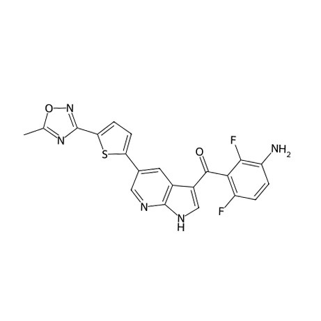 Cc1nc(-c2ccc(-c3cnc4[nH]cc(C(=O)c5c(F)ccc(N)c5F)c4c3)s2)no1